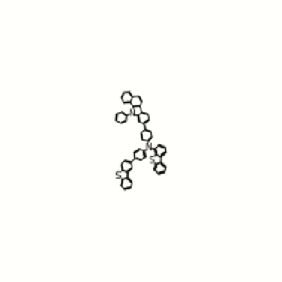 c1ccc(-n2c3cc(-c4ccc(N(c5ccc(-c6ccc7sc8ccccc8c7c6)cc5)c5cccc6c5sc5ccccc56)cc4)ccc3c3ccc4ccccc4c32)cc1